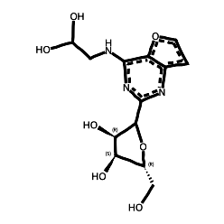 OC[C@H]1OC(c2nc(NCC(O)O)c3occc3n2)[C@H](O)[C@@H]1O